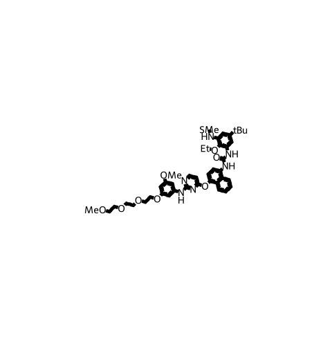 CCOc1c(NSC)cc(C(C)(C)C)cc1NC(=O)Nc1ccc(Oc2ccnc(Nc3cc(OC)cc(OCCOCCOCCOC)c3)n2)c2ccccc12